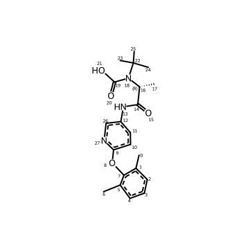 Cc1cccc(C)c1Oc1ccc(NC(=O)[C@@H](C)N(C(=O)O)C(C)(C)C)cn1